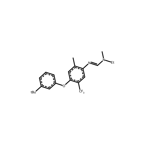 CCN(C)/C=N/c1cc(C(F)(F)F)c(Oc2cccc(C(C)(C)C)c2)cc1C